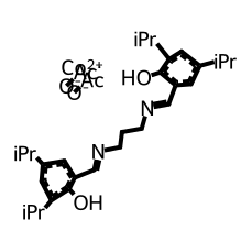 CC(=O)[O-].CC(=O)[O-].CC(C)c1cc(C=NCCCN=Cc2cc(C(C)C)cc(C(C)C)c2O)c(O)c(C(C)C)c1.[Co+2]